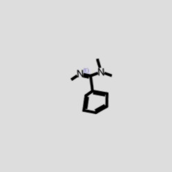 C/N=C(\c1ccccc1)N(C)C